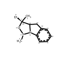 CC[C@]1(C)OP(C)N2c3ccccc3CC21